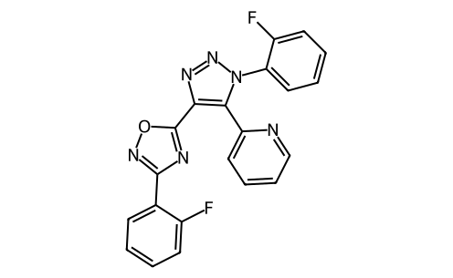 Fc1ccccc1-c1noc(-c2nnn(-c3ccccc3F)c2-c2ccccn2)n1